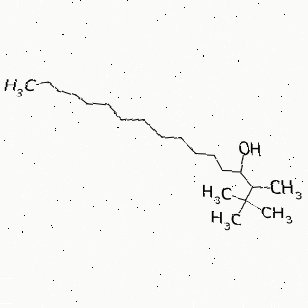 CCCCCCCCCCCCCC(O)C(C)C(C)(C)C